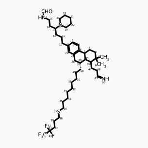 CC1(C)CCC2c3ccc(CCCC(CCNC=O)N4CCCCC4)cc3C[C@@H](CCCCCCCCCSCCCC(F)(F)C(F)(F)F)C2C1CCC=N